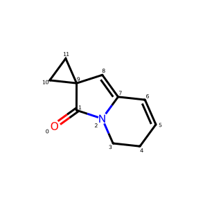 O=C1N2CCC=CC2=CC12CC2